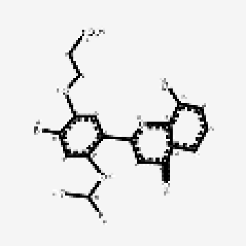 O=C(O)CCOc1cc(-c2cc(=O)c3cccc(Cl)c3o2)c(OC(F)F)cc1Br